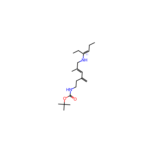 C=C(C=C(C)CN/C(=C/CC)CC)CCNC(=O)OC(C)(C)C